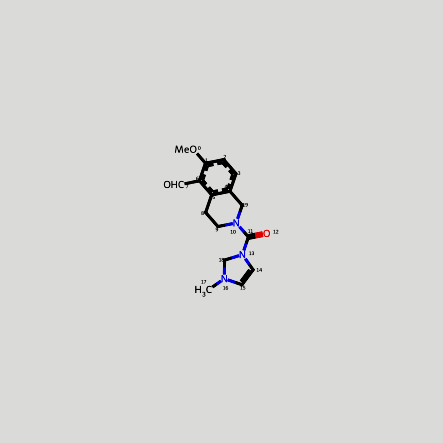 COc1ccc2c(c1C=O)CCN(C(=O)N1C=CN(C)C1)C2